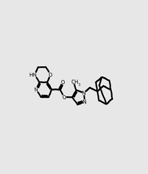 Cc1c(OC(=O)c2ccnc3c2OCCN3)cnn1CC12CC3CC(CC(C3)C1)C2